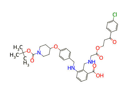 CC(C)(C)OC(=O)N1CCC(Oc2ccc(CNc3cccc(C(=O)O)c3CNCC(=O)OCCC(=O)c3ccc(Cl)cc3)cc2)CC1